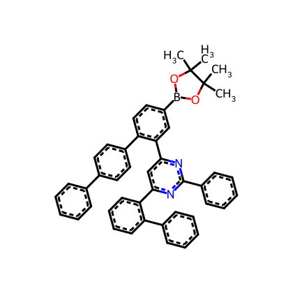 CC1(C)OB(c2ccc(-c3ccc(-c4ccccc4)cc3)c(-c3cc(-c4ccccc4-c4ccccc4)nc(-c4ccccc4)n3)c2)OC1(C)C